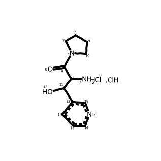 Cl.Cl.NC(C(=O)N1CCCC1)C(O)c1cccnc1